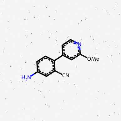 COc1cc(-c2ccc(N)cc2C#N)ccn1